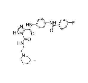 CC1CCCN(CCNC(=O)c2[nH]cnc2C(=O)Nc2ccc(NC(=O)c3ccc(F)cc3)cc2)C1